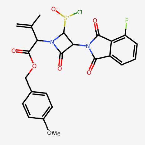 C=C(C)C(C(=O)OCc1ccc(OC)cc1)N1C(=O)C(N2C(=O)c3cccc(F)c3C2=O)C1[S+]([O-])Cl